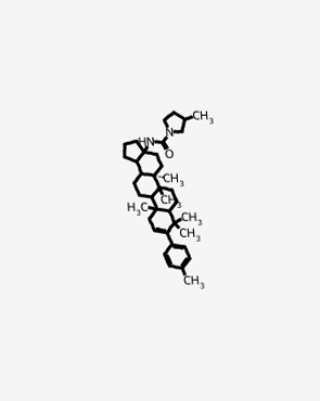 Cc1ccc(C2=CCC3(C)C(CCC4(C)C3CCC3C5CCCC5(NC(=O)N5CCC(C)C5)CC[C@]34C)C2(C)C)cc1